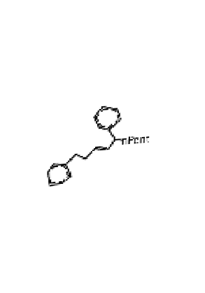 CCCCCC(C=CCCc1ccccc1)c1ccccc1